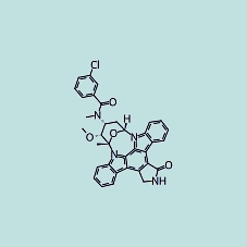 CO[C@@H]1[C@H](N(C)C(=O)c2cccc(Cl)c2)C[C@H]2O[C@]1(C)n1c3ccccc3c3c4c(c5c6ccccc6n2c5c31)C(=O)NC4